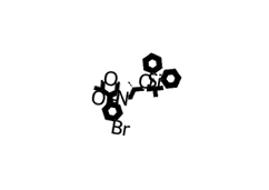 C[C@H](CO[Si](c1ccccc1)(c1ccccc1)C(C)(C)C)Cn1c2c(c3ccc(Br)cc31)C(C)(O)COC2